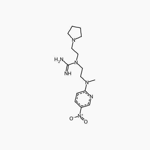 CN(CCN(CCN1CCCC1)C(=N)N)c1ccc([N+](=O)[O-])cn1